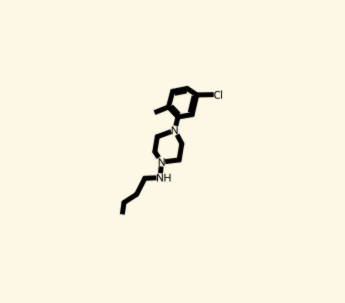 CCCCNN1CCN(c2cc(Cl)ccc2C)CC1